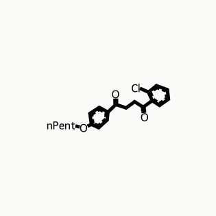 CCCCCOc1ccc(C(=O)CCC(=O)c2ccccc2Cl)cc1